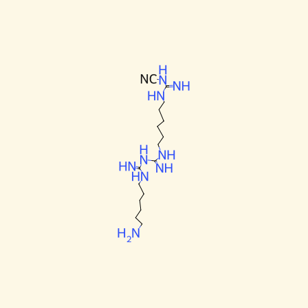 N#CNC(=N)NCCCCCCNC(=N)NC(=N)NCCCCCCN